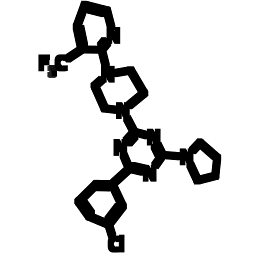 FC(F)(F)c1cccnc1N1CCN(c2nc(-c3cccc(Cl)c3)nc(N3CCCC3)n2)CC1